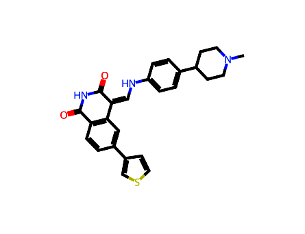 CN1CCC(c2ccc(NC=C3C(=O)NC(=O)c4ccc(-c5ccsc5)cc43)cc2)CC1